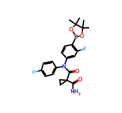 CC1(C)OB(c2ccc(N(C(=O)C3(C(N)=O)CC3)c3ccc(F)cc3)cc2F)OC1(C)C